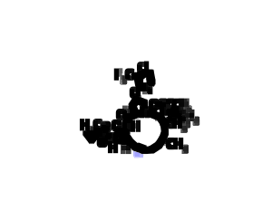 C[C@@H]1CC/C=C\[C@@H]2C[C@@]2(C(=O)NS(=O)(=O)C2(C)CC2)NC(=O)[C@@H]2C[C@@H](Oc3nccc(Cl)c3C(F)(F)F)CN2C(=O)[C@@H](N(C(=O)O)C(C)(C)C(F)(F)F)[C@H](C)C1